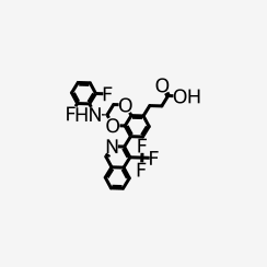 O=C(O)CCc1ccc(-c2ncc3ccccc3c2C(F)(F)F)c2c1OC[C@@H](Nc1c(F)cccc1F)O2